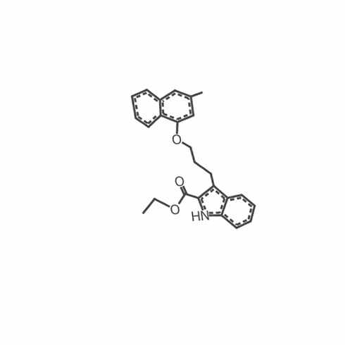 CCOC(=O)c1[nH]c2ccccc2c1CCCOc1cc(C)cc2ccccc12